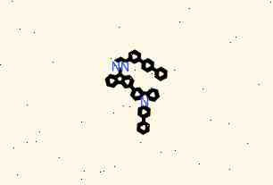 c1ccc(-c2ccc(-c3cccc(-c4ccnc(C5c6ccccc6-c6cc(-c7ccc8c(c7)c7ccccc7n8-c7ccc(-c8ccccc8)cc7)ccc65)n4)c3)cc2)cc1